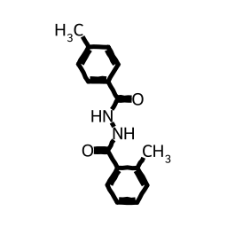 Cc1ccc(C(=O)NNC(=O)c2ccccc2C)cc1